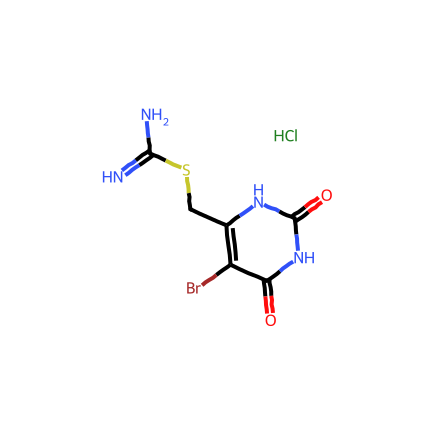 Cl.N=C(N)SCc1[nH]c(=O)[nH]c(=O)c1Br